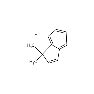 CC1(C)C=[C]c2ccccc21.[LiH]